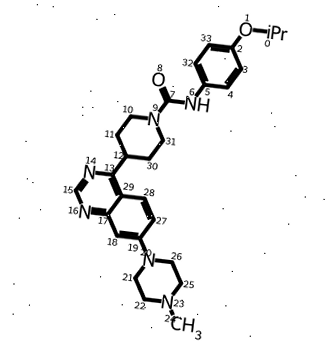 CC(C)Oc1ccc(NC(=O)N2CCC(c3ncnc4cc(N5CCN(C)CC5)ccc34)CC2)cc1